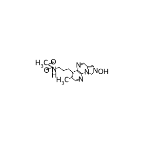 Cc1cnc2c(c1CCCNS(C)(=O)=O)N=CC1=CN(O)CN12